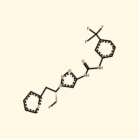 O=C(Nc1cccc(C(F)(F)F)c1)Nc1c[n+]([C@H](CF)Cc2ccccc2)no1